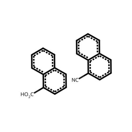 N#Cc1cccc2ccccc12.O=C(O)c1cccc2ccccc12